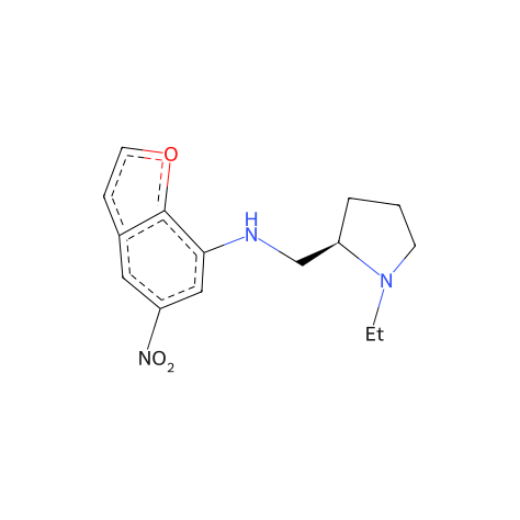 CCN1CCC[C@@H]1CNc1cc([N+](=O)[O-])cc2ccoc12